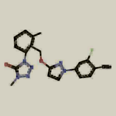 COc1ccc(-n2ccc(OCc3c(C)cccc3-n3nnn(C)c3=O)n2)cc1F